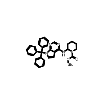 CC(C)(C)OC(=O)N1CCCCC1Nc1ncnc2c1ccn2C(c1ccccc1)(c1ccccc1)c1ccccc1